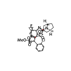 COC(=O)c1cc(F)c2nc(N3[C@@H]4CC[C@H]3C[C@@H](OC(=O)c3c(-c5ccccc5Cl)noc3C3CC3)C4)sc2c1